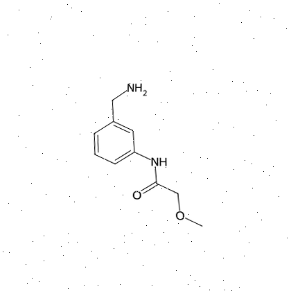 COCC(=O)Nc1cccc(CN)c1